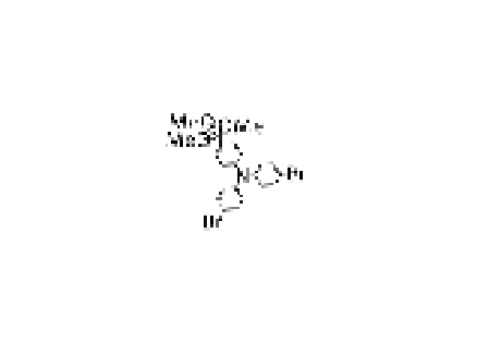 CO[Si](OC)(OC)c1ccc(N(c2ccc(Br)cc2)c2ccc(Br)cc2)cc1